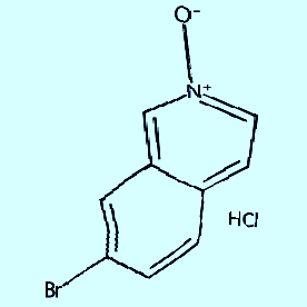 Cl.[O-][n+]1ccc2ccc(Br)cc2c1